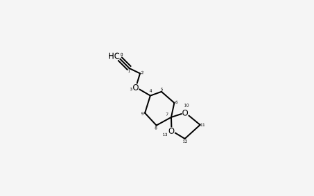 C#CCOC1CCC2(CC1)OCCO2